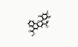 COC(=O)c1cc2c(c3ccccc13)OC(c1cc(F)c(F)cc1F)C([N+](=O)[O-])=C2